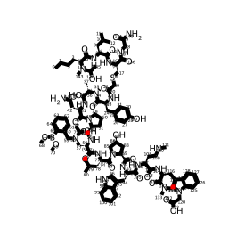 CCCC[C@@H](C(=O)N[C@@H](CC(C)C)C(=O)N[C@@H](CSCC(=O)N[C@@H](Cc1ccc(O)cc1)C(=O)N(C)[C@@H](C)C(O)N[C@@H](CC(N)=O)C(=O)N1CCC[C@H]1C(=O)N[C@@H](CN(Cc1ccccc1B(OC)OC)C(C)O)C(=O)N[C@@H](CC(C)C)C(=O)N1C[C@H](O)C[C@H]1C(=O)N[C@@H](Cc1c[nH]c2ccccc12)C(=O)N[C@@H](CCNC)C(=O)N[C@@H](Cc1cn(CC(=O)O)c2ccccc12)C(=O)N(C)C)C(=O)NCC(N)=O)N(C)C(C)O